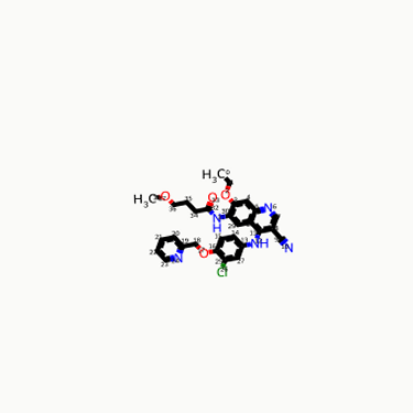 CCOc1cc2ncc(C#N)c(Nc3ccc(OCc4ccccn4)c(Cl)c3)c2cc1NC(=O)CCCOC